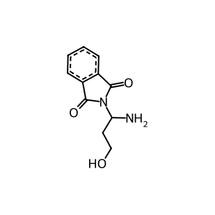 NC(CCO)N1C(=O)c2ccccc2C1=O